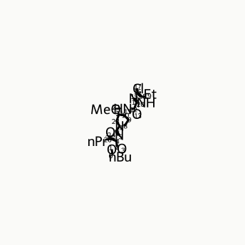 CCCCOC(=O)c1nc(N2CC[C@@H](NC(=O)c3nc(Cl)c(CC)[nH]3)[C@@H](OC)C2)oc1CCC